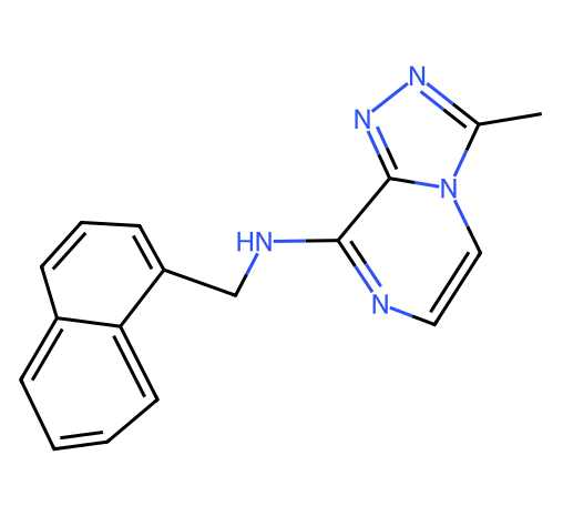 Cc1nnc2c(NCc3cccc4ccccc34)nccn12